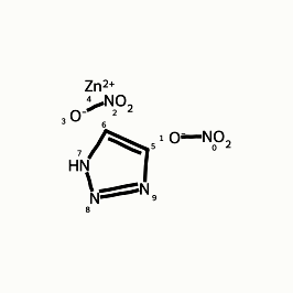 O=[N+]([O-])[O-].O=[N+]([O-])[O-].[Zn+2].c1c[nH]nn1